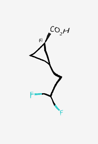 O=C(O)[C@@H]1CC1CC(F)F